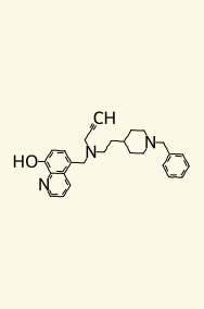 C#CCN(CCC1CCN(Cc2ccccc2)CC1)Cc1ccc(O)c2ncccc12